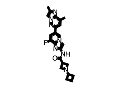 Cc1cn2nc(-c3cc(F)c4nc(NC(=O)C5CN(C6CCC6)C5)cn4c3)cc(C)c2n1